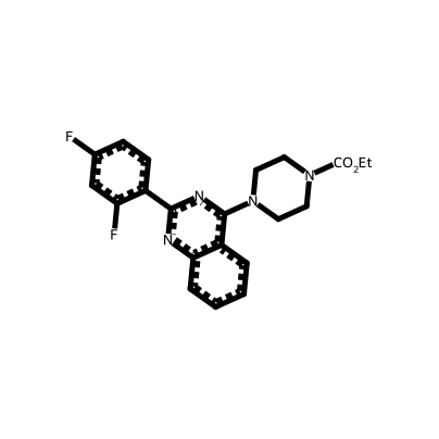 CCOC(=O)N1CCN(c2nc(-c3ccc(F)cc3F)nc3ccccc23)CC1